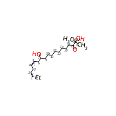 CC/C=C\C/C=C\CC(O)CCCCCCCCC(=O)C(C)(C)O